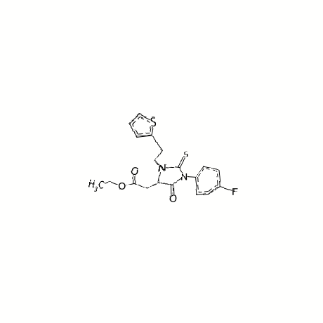 CCOC(=O)CC1C(=O)N(c2ccc(F)cc2)C(=S)N1CCc1cccs1